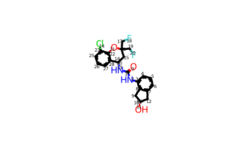 O=C(Nc1cccc2c1C[C@H](O)C2)N[C@@H]1CC(CF)(CF)Oc2c(Cl)cccc21